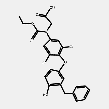 CCOC(=O)N(CC(=O)O)c1cc(Cl)c(Oc2ccc(O)c(Cc3ccccc3)c2)c(Cl)c1